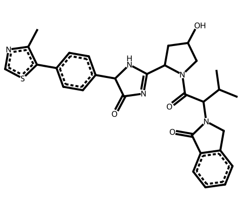 Cc1ncsc1-c1ccc(C2NC(C3CC(O)CN3C(=O)C(C(C)C)N3Cc4ccccc4C3=O)=NC2=O)cc1